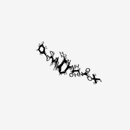 CC(C)(C)OC(=O)NCC(=O)Nc1ccc(N=NCC(=O)Oc2ccccc2)c(N)n1